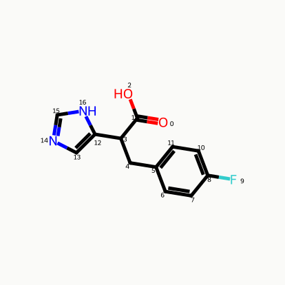 O=C(O)C(Cc1ccc(F)cc1)c1cnc[nH]1